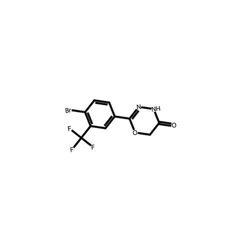 O=C1COC(c2ccc(Br)c(C(F)(F)F)c2)=NN1